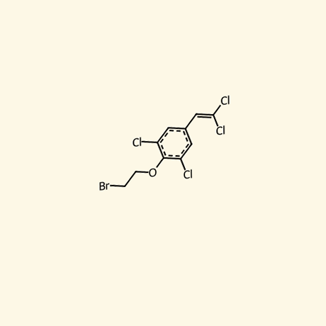 ClC(Cl)=Cc1cc(Cl)c(OCCBr)c(Cl)c1